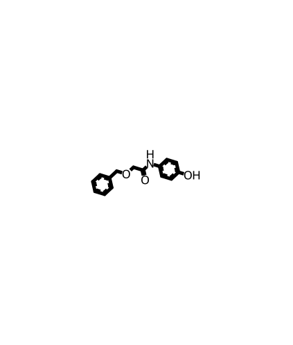 O=C(COCc1ccccc1)Nc1ccc(O)cc1